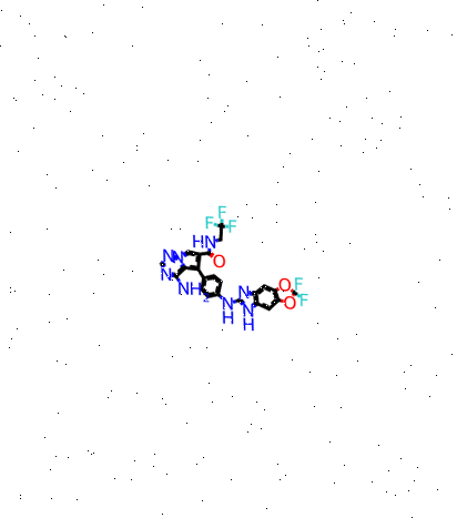 Nc1ncnn2cc(C(=O)NCC(F)(F)F)c(-c3ccc(Nc4nc5cc6c(cc5[nH]4)OC(F)(F)O6)cc3)c12